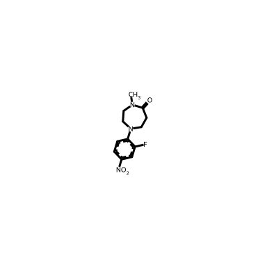 CN1CCN(c2ccc([N+](=O)[O-])cc2F)CCC1=O